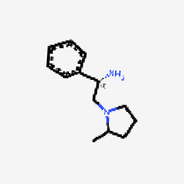 CC1CCCN1C[C@@H](N)c1ccccc1